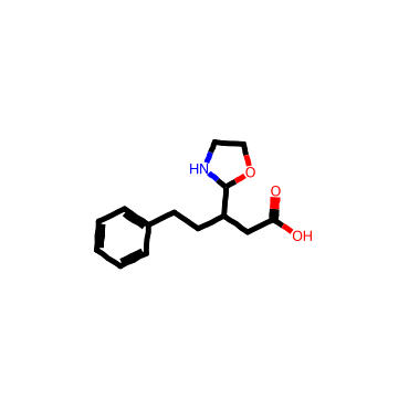 O=C(O)CC(CCc1ccccc1)C1NCCO1